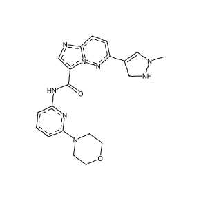 CN1C=C(c2ccc3ncc(C(=O)Nc4cccc(N5CCOCC5)n4)n3n2)CN1